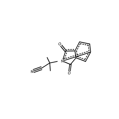 CC(C)(C)C#N.O=C1c2cc3ccc2c(=O)n31